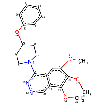 COc1cc2c(N3CCC(Oc4ccccc4)CC3)nncc2c(OC)c1OC